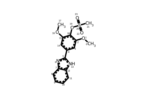 COc1cc(-c2nc3ccccc3[nH]2)cc(OC)c1OS(C)(=O)=O